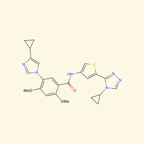 COc1cc(OC)c(-n2cnc(C3CC3)c2)cc1C(=O)Nc1csc(-c2nncn2C2CC2)c1